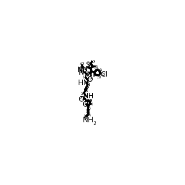 Cc1sc2c(c1C)C(c1ccc(Cl)cc1)=N[C@@H](CC(=O)NCC#CCNC(=O)c1ccc(C#CCCN)o1)c1nnc(C)n1-2